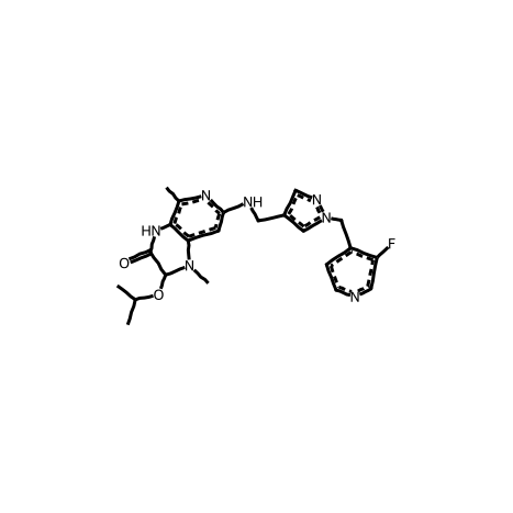 Cc1nc(NCc2cnn(Cc3ccncc3F)c2)cc2c1NC(=O)C(OC(C)C)N2C